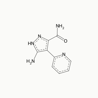 NC(=O)c1n[nH]c(N)c1-c1ccccn1